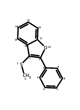 CSc1c(-c2ccccc2)oc2ccccc12